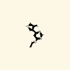 CCOc1cc(-c2cscc2C)ncn1